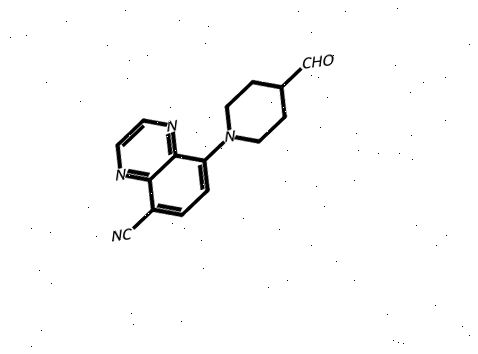 N#Cc1ccc(N2CCC(C=O)CC2)c2nccnc12